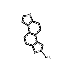 Nc1cc2c(ccc3c4ccsc4ccc23)s1